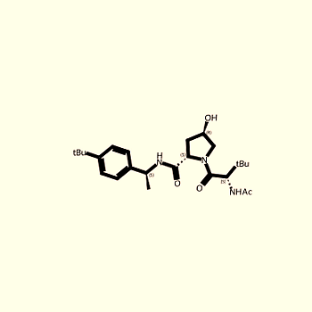 CC(=O)N[C@H](C(=O)N1C[C@H](O)C[C@H]1C(=O)N[C@@H](C)c1ccc(C(C)(C)C)cc1)C(C)(C)C